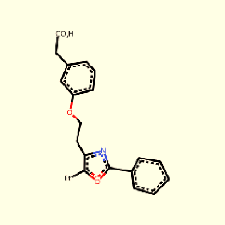 CCc1oc(-c2ccccc2)nc1CCOc1cccc(CC(=O)O)c1